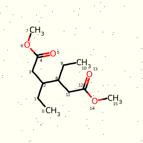 CCC(CC(=O)OC)C(CC)CC(=O)OC